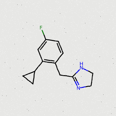 Fc1ccc(CC2=NCCN2)c(C2CC2)c1